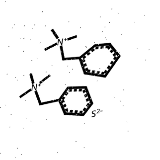 C[N+](C)(C)Cc1ccccc1.C[N+](C)(C)Cc1ccccc1.[S-2]